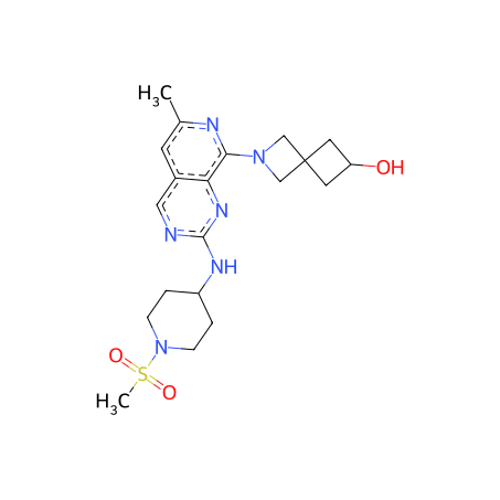 Cc1cc2cnc(NC3CCN(S(C)(=O)=O)CC3)nc2c(N2CC3(CC(O)C3)C2)n1